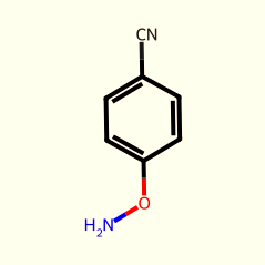 N#Cc1ccc(ON)cc1